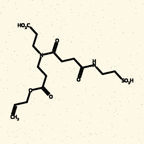 C=CCOC(=O)CCN(CCC(=O)O)C(=O)CCC(=O)NCCS(=O)(=O)O